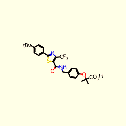 CC(C)(Oc1ccc(CNC(=O)c2sc(-c3ccc(C(C)(C)C)cc3)nc2C(F)(F)F)cc1)C(=O)O